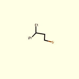 CCC(CC[S])C(C)C